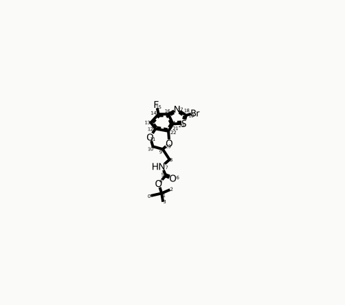 CC(C)(C)OC(=O)NCC1COc2cc(F)c3nc(Br)sc3c2O1